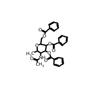 CC(=O)NC1C(C)OC(COC(=O)c2ccccc2)C(OC(=O)c2ccccc2)C1OC(=O)c1ccccc1